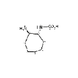 N[C@@H]1CCCCC[C@H]1NC(=O)O